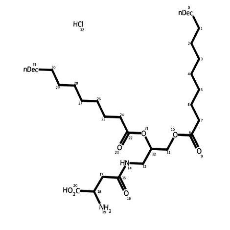 CCCCCCCCCCCCCCCCCC(=O)OCC(CNC(=O)CC(N)C(=O)O)OC(=O)CCCCCCCCCCCCCCCCC.Cl